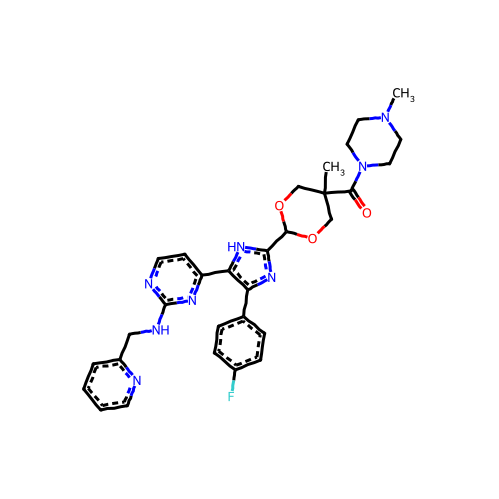 CN1CCN(C(=O)C2(C)COC(c3nc(-c4ccc(F)cc4)c(-c4ccnc(NCc5ccccn5)n4)[nH]3)OC2)CC1